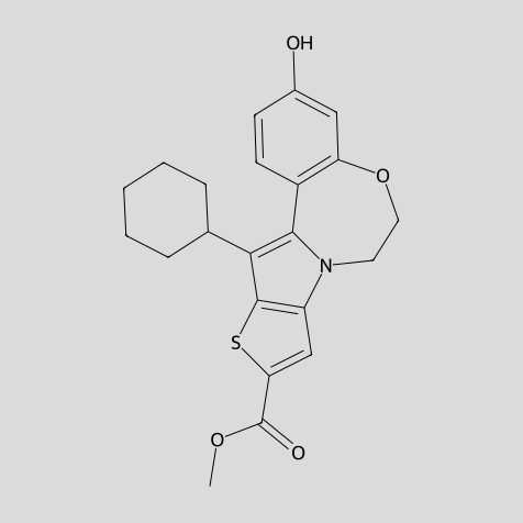 COC(=O)c1cc2c(s1)c(C1CCCCC1)c1n2CCOc2cc(O)ccc2-1